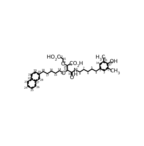 Cc1cc(CCCCCNC(=O)C(OCCCCCc2ccc3ccccc3c2)C(OCC(=O)O)C(=O)O)cc(C)c1O